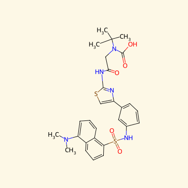 CN(C)c1cccc2c(S(=O)(=O)Nc3cccc(-c4csc(NC(=O)CN(C(=O)O)C(C)(C)C)n4)c3)cccc12